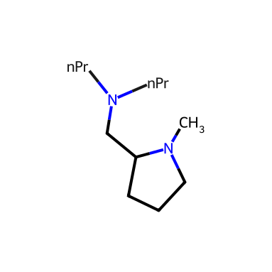 CCCN(CCC)CC1CCCN1C